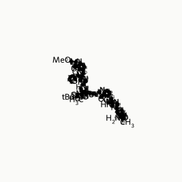 COCCn1cnc2ccc(Sc3nn(C4CCCCO4)c4nc(N5CCC6(CC5)C(COCCn5cnc7ccc(Sc8n[nH]c9nc(N%10CCC%11(CC%10)CO[C@@H](C)[C@H]%11N)cnc89)c(Cl)c7c5=O)O[C@@H](C)[C@H]6NC(=O)OC(C)(C)C)cnc34)c(Cl)c2c1=O